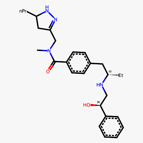 CCCC1CC(CN(C)C(=O)c2ccc(C[C@H](CC)NC[C@H](O)c3ccccc3)cc2)=NN1